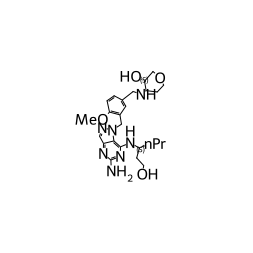 CCC[C@@H](CCO)Nc1nc(N)nc2cnn(Cc3cc(CNC4CCOC[C@H]4O)ccc3OC)c12